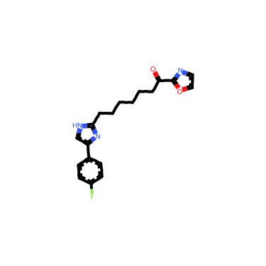 O=C(CCCCCCc1nc(-c2ccc(F)cc2)c[nH]1)c1ncco1